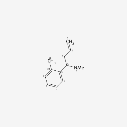 C=CCC(NC)c1ccccc1C